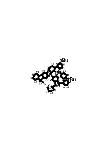 CC(C)(C)c1ccc(N2B3c4cc5c(-c6ccccc6)oc(-c6ccccc6)c5cc4-n4c5cc6c(cc5c5ccc(c3c54)-c3cc(C(C)(C)C)ccc32)-c2ccccc2C6(C)C)cc1